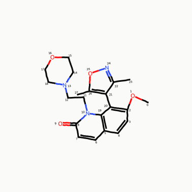 COc1ccc2ccc(=O)n(CCN3CCOCC3)c2c1-c1c(C)noc1C